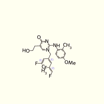 COc1ccc(Nc2nc(=O)c(CCO)cn2CC(/C=C(\C)F)=C/C(F)=C/F)c(C)c1